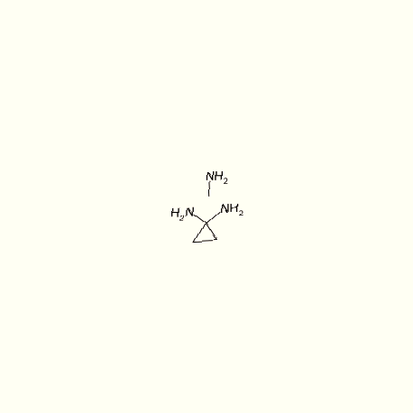 CN.NC1(N)CC1